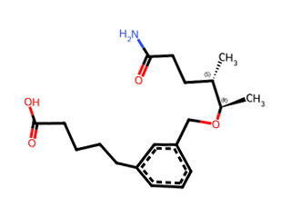 C[C@@H](CCC(N)=O)[C@@H](C)OCc1cccc(CCCCC(=O)O)c1